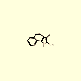 N#Cc1[nH]c2c(ccc3ccccc32)c1I